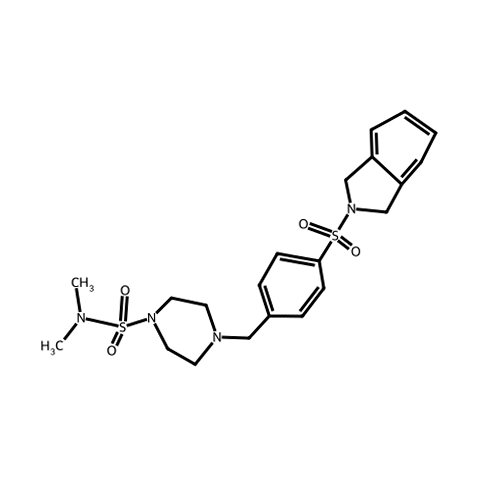 CN(C)S(=O)(=O)N1CCN(Cc2ccc(S(=O)(=O)N3Cc4ccccc4C3)cc2)CC1